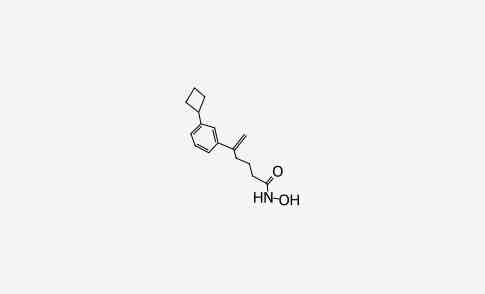 C=C(CCCC(=O)NO)c1cccc(C2CCC2)c1